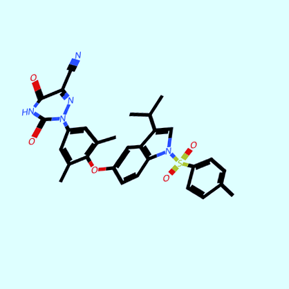 Cc1ccc(S(=O)(=O)n2cc(C(C)C)c3cc(Oc4c(C)cc(-n5nc(C#N)c(=O)[nH]c5=O)cc4C)ccc32)cc1